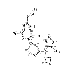 CC(C)NCc1cc2c(Br)cn(-c3cccc([C@H](c4nncn4C)C4CCC4)c3)c(=O)c2[nH]1